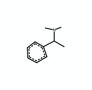 CC(c1[c]cccc1)N(C)C